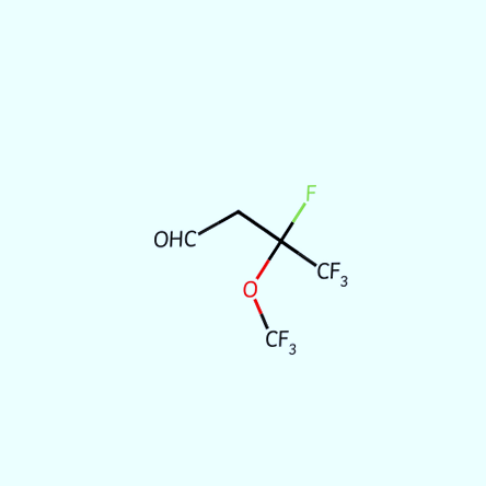 O=CCC(F)(OC(F)(F)F)C(F)(F)F